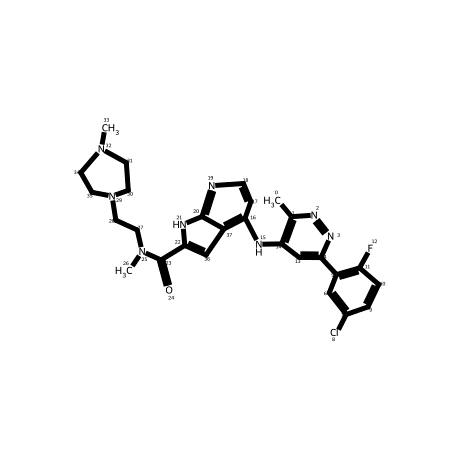 Cc1nnc(-c2cc(Cl)ccc2F)cc1Nc1ccnc2[nH]c(C(=O)N(C)CCN3CCN(C)CC3)cc12